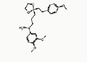 COc1ccc(CCC2(CCCC(N)c3ccc(OC)c(OC)c3)OCCO2)cc1